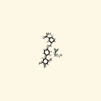 NC(=O)c1cccc(COc2ccc(-c3cc(F)c(F)cc3F)cc2)c1.O=S(=O)(O)C1CC1